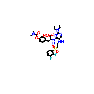 CCN(CC)c1ncc(NCCS(=O)(=O)c2cccc(F)c2F)c(NC(Cc2ccc(OC(=O)N(C)C)cc2)C(=O)O)n1